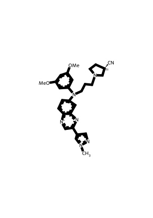 COc1cc(OC)cc(N(CCCN2CC[C@H](C#N)C2)c2ccc3ncc(-c4cnn(C)c4)nc3c2)c1